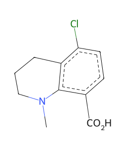 CN1CCCc2c(Cl)ccc(C(=O)O)c21